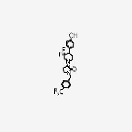 O=C1[C@@H](N2CCC(c3ccc(O)cc3)C(F)(F)C2)CCN1Cc1ccc(C(F)(F)F)cc1